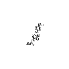 CC(C)(C)C(=O)OCn1ncc(SCc2ccc(C(C)(C)C)cc2)c(Cl)c1=O